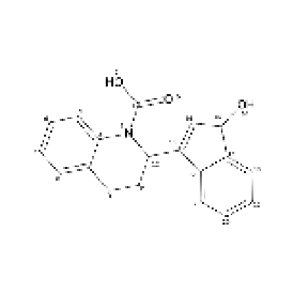 O=C(O)N1c2ccccc2CCC1C1=CC(O)c2ccccc21